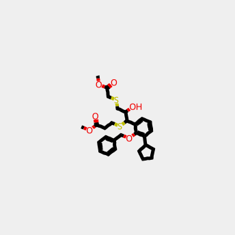 COC(=O)CCSC(c1cccc(C2CCCC2)c1OCc1ccccc1)C(O)CSCC(=O)OC